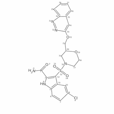 NC(=O)c1[nH]c2ccc(Cl)cc2c1S(=O)(=O)N1CCOC(COc2cc3ccccc3nn2)C1